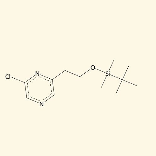 CC(C)(C)[Si](C)(C)OCCc1cncc(Cl)n1